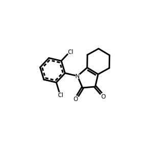 O=C1C(=O)N(c2c(Cl)cccc2Cl)C2=C1CCCC2